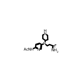 CC(=O)Nc1ccc(N(CC[C@@H](C)N)C2CCNCC2)cn1